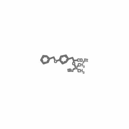 CCOC(=O)C(Cc1ccc(OCc2ccccc2)cc1)O[Si](C)(C)C(C)(C)C